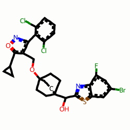 OC(c1nc2c(F)cc(Br)cc2s1)C12CCC(OCc3c(-c4c(Cl)cccc4Cl)noc3C3CC3)(CC1)CC2